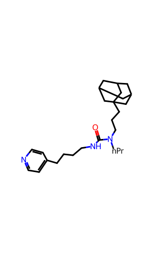 CCCN(CCCC12CC3CC(CC(C3)C1)C2)C(=O)NCCCCc1ccncc1